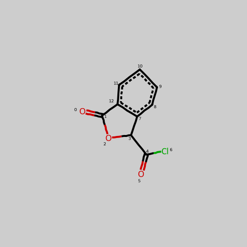 O=C1OC(C(=O)Cl)c2ccccc21